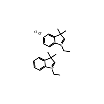 CC[N+]1=CC(C)(C)c2ccccc21.CC[N+]1=CC(C)(C)c2ccccc21.[Cl-].[Cl-]